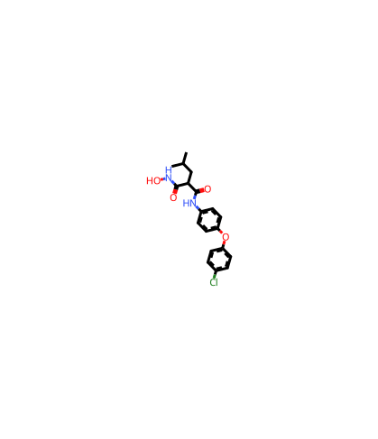 CC(C)CC(C(=O)NO)C(=O)Nc1ccc(Oc2ccc(Cl)cc2)cc1